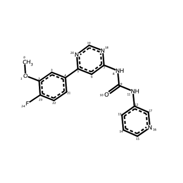 COc1cc(-c2cc(NC(=O)Nc3cccnc3)ncn2)ccc1F